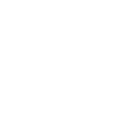 CCCC(C)(CC)COCCC(CC)C(C)CO